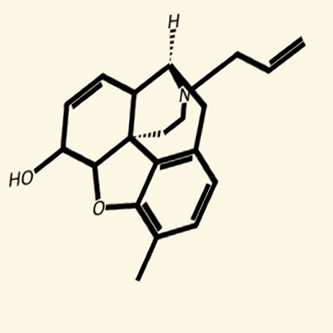 C=CCN1CC[C@]23c4c5ccc(C)c4OC2C(O)C=CC3[C@H]1C5